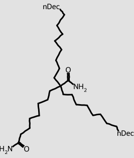 CCCCCCCCCCCCCCCCCCC(CCCCCCCCCCCCCCCCCC)(CCCCCCCC(N)=O)C(N)=O